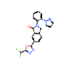 O=C1c2cc(-c3nnc(C(F)F)o3)ccc2CN1c1ccccc1-n1cccn1